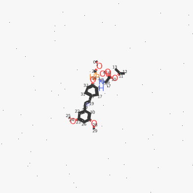 COC[PH](O)(N[C@@H](C)C(=O)OC(C)C)Oc1ccc(/C=C/c2cc(OC)cc(OC)c2)cc1